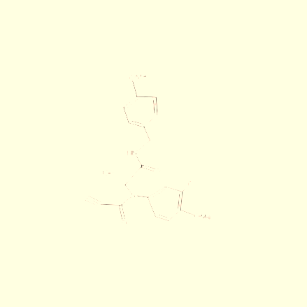 C#CC(=O)N(c1ccc(OC)c(Cl)c1)[C@@H](C(=O)NCc1ccc(OC)cc1)C(C)(C)C